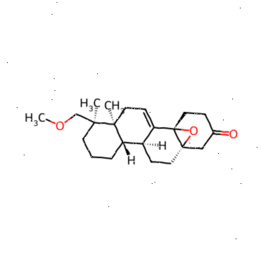 COC[C@]1(C)CCC[C@H]2[C@@H]3CC[C@]45CC(=O)CC[C@]4(O5)C3=CC[C@@]21C